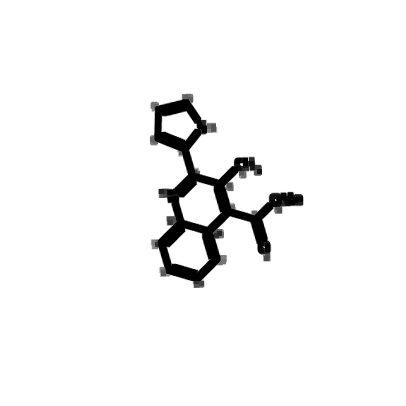 COC(=O)c1c(C)c(-c2cccs2)nc2ccccc12